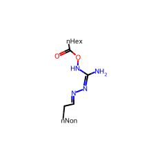 CCCCCCCCCCC=NN=C(N)NOC(=O)CCCCCC